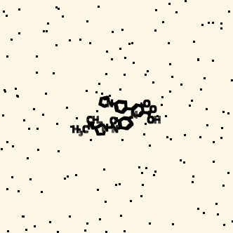 CN(C)C1CCN(c2nc3ccc(-n4cc(C(=O)O)c(=O)cc4-c4ccc(N5CCCC5)cc4)cc3o2)C1